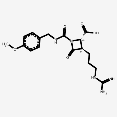 COc1ccc(CNC(=O)N2C(=O)[C@H](CCCNC(=N)N)[C@H]2C(=O)O)cc1